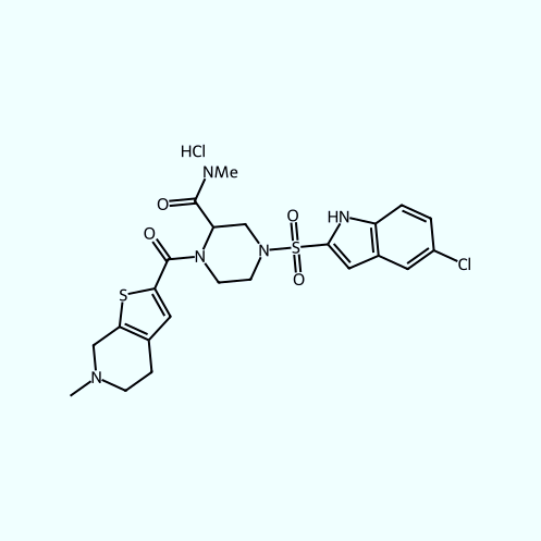 CNC(=O)C1CN(S(=O)(=O)c2cc3cc(Cl)ccc3[nH]2)CCN1C(=O)c1cc2c(s1)CN(C)CC2.Cl